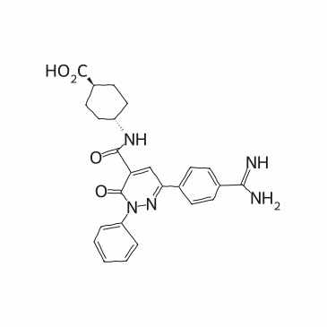 N=C(N)c1ccc(-c2cc(C(=O)N[C@H]3CC[C@H](C(=O)O)CC3)c(=O)n(-c3ccccc3)n2)cc1